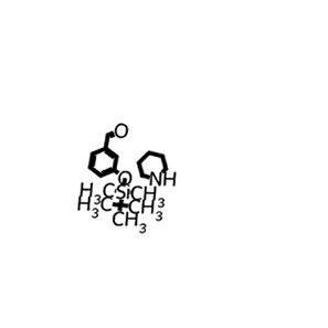 C1CCNCC1.CC(C)(C)[Si](C)(C)Oc1cccc(C=O)c1